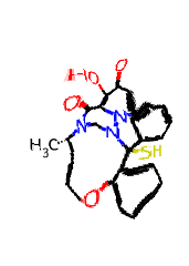 C[C@H]1/C=C/COc2ccccc2[C@@](S)(c2ccccc2)N2CN1C(=O)c1c(O)c(=O)ccn12